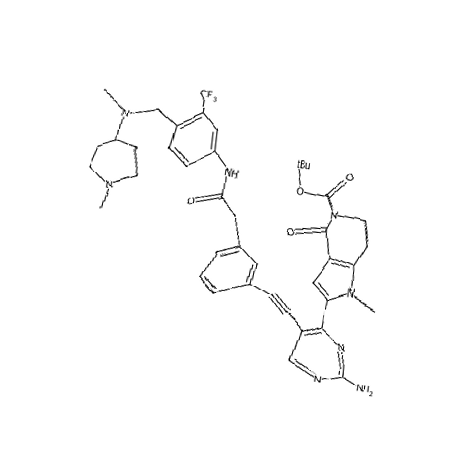 CN1CCC(N(C)Cc2ccc(NC(=O)Cc3cccc(C#Cc4cnc(N)nc4-c4cc5c(n4C)CCN(C(=O)OC(C)(C)C)C5=O)c3)cc2C(F)(F)F)CC1